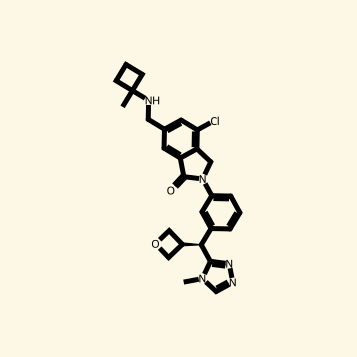 Cn1cnnc1[C@H](c1cccc(N2Cc3c(Cl)cc(CNC4(C)CCC4)cc3C2=O)c1)C1COC1